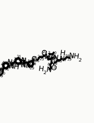 CCCN(CC(=O)N(CC(N)=O)C/C(N)=C/NCCCN)C(=O)CCCOc1cccc(-c2nc3ccc(-c4nc5ccc(N6CCN(C)CC6)cc5[nH]4)cc3[nH]2)c1